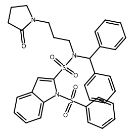 O=C1CCCN1CCCN(C(c1ccccc1)c1ccccc1)S(=O)(=O)c1cc2ccccc2n1S(=O)(=O)c1ccccc1